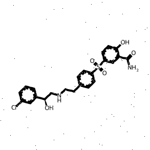 NC(=O)c1cc(S(=O)(=O)c2ccc(CCNC[C@@H](O)c3cccc(Cl)c3)cc2)ccc1O